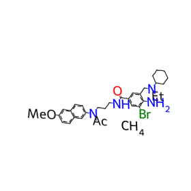 C.CCN(Cc1cc(C(=O)NCCCN(C(C)=O)c2ccc3cc(OC)ccc3c2)cc(Br)c1N)C1CCCCC1